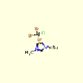 CCCC[n+]1ccn(C)c1.[Cl][Al-]([Br])([Br])[Br]